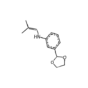 CC(C)=CNc1cccc(C2OCCO2)c1